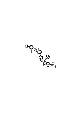 O=C(O)c1cc2c(nc(CN3CC=C(c4ccnc(OCc5ccc(Cl)cc5F)n4)CC3)n2CC2CCO2)o1